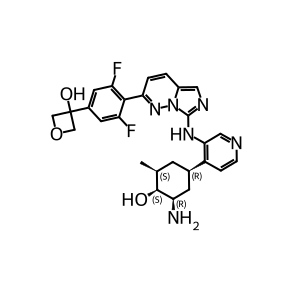 C[C@H]1C[C@@H](c2ccncc2Nc2ncc3ccc(-c4c(F)cc(C5(O)COC5)cc4F)nn23)C[C@@H](N)[C@H]1O